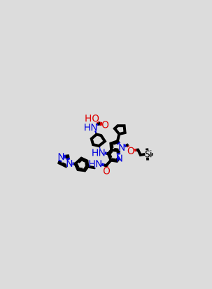 C[Si](C)(C)CCOCn1c(C2CCCC2)cc2c(N[C@H]3CC[C@H](NC(=O)O)CC3)c(C(=O)NCc3ccc(-n4ccnc4)cc3)cnc21